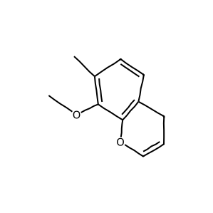 COc1c(C)ccc2c1OC=CC2